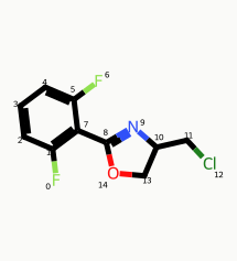 Fc1cccc(F)c1C1=NC(CCl)CO1